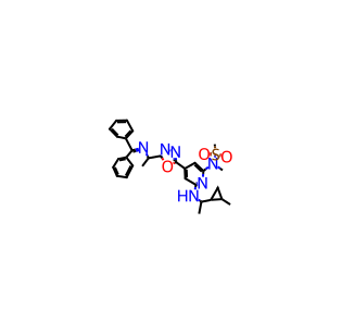 CC(N=C(c1ccccc1)c1ccccc1)c1nnc(-c2cc(NC(C)C3CC3C)nc(N(C)S(C)(=O)=O)c2)o1